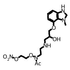 CC(=O)N(CCNCC(O)COc1cccc2c1N(C)CN2)OCCO[N+](=O)[O-]